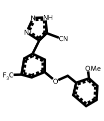 COc1ccccc1COc1cc(-c2nn[nH]c2C#N)cc(C(F)(F)F)c1